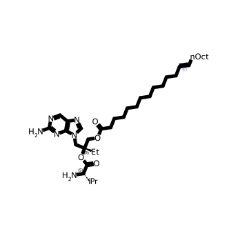 CCCCCCCC/C=C/CCCCCCCCCCCC(=O)OC[C@@](CC)(Cn1cnc2cnc(N)nc21)OC(=O)[C@@H](N)C(C)C